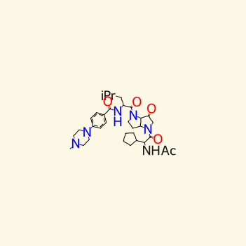 CC(=O)NC(C(=O)N1CC(=O)C2C1CCN2C(=O)C(CC(C)C)NC(=O)c1ccc(N2CCN(C)CC2)cc1)C1CCCC1